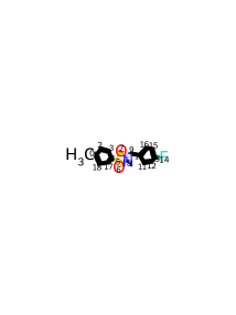 Cc1ccc(S(=O)(=O)/N=C/c2ccc(F)cc2)cc1